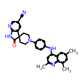 Cc1cc(C)c2nc(C)cc(Nc3ccc(N4CCC5(CC4)C(=O)Nc4ncc(C#N)cc45)cc3)c2c1